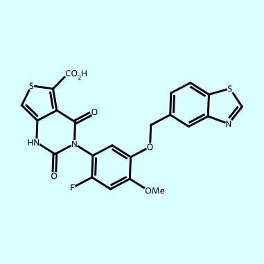 COc1cc(F)c(-n2c(=O)[nH]c3csc(C(=O)O)c3c2=O)cc1OCc1ccc2scnc2c1